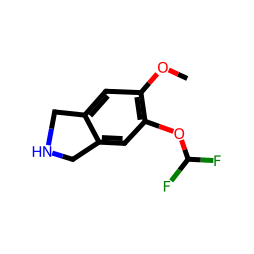 COc1cc2c(cc1OC(F)F)CNC2